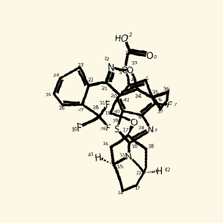 O=C(O)Oc1cc(F)c2nc(N3[C@@H]4CC[C@H]3C[C@@H](OCc3c(-c5ccccc5C(F)(F)F)noc3C3CC3)C4)sc2c1